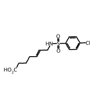 O=C(O)CCCC=CCNS(=O)(=O)c1ccc(Cl)cc1